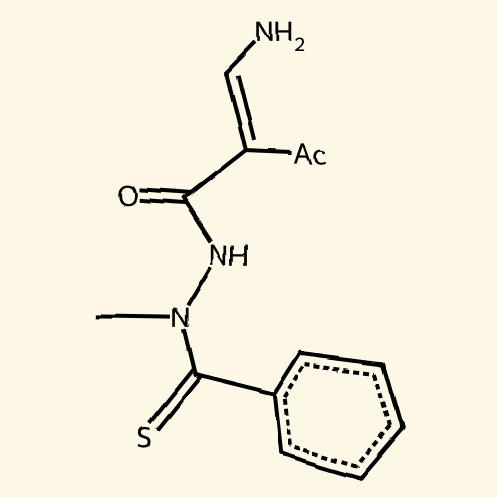 CC(=O)/C(=C\N)C(=O)NN(C)C(=S)c1ccccc1